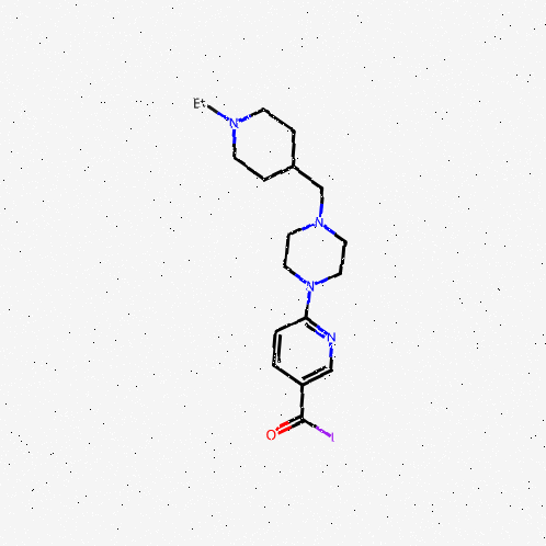 CCN1CCC(CN2CCN(c3ccc(C(=O)I)cn3)CC2)CC1